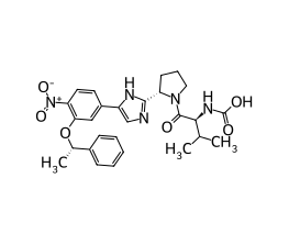 CC(C)[C@H](NC(=O)O)C(=O)N1CCC[C@H]1c1ncc(-c2ccc([N+](=O)[O-])c(O[C@@H](C)c3ccccc3)c2)[nH]1